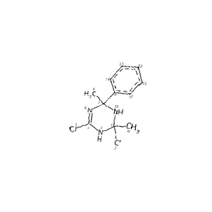 CC1(Cl)NC(Cl)=NC(C)(c2ccccc2)N1